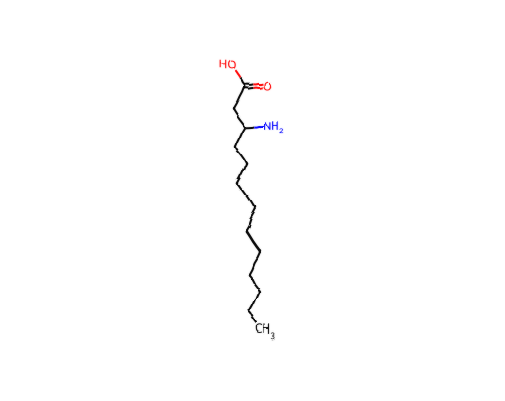 CCCCCCCCCCC(N)CC(=O)O